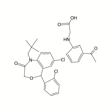 CC(=O)c1cccc(NCC(=O)O)c1.CC(C)(C)CN1C(=O)COC(c2ccccc2Cl)c2cc(Cl)ccc21